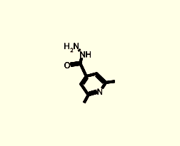 Cc1cc(C(=O)NN)cc(C)n1